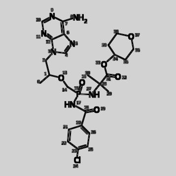 CC(Cn1cnc2c(N)ncnc21)OCP(=O)(NC(=O)c1ccc(Cl)cc1)NC(C)(C)C(=O)OC1CCOCC1